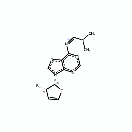 CN(C)/C=N\c1ncnc2c1ncn2[C@@H]1OC=C[C@@H]1F